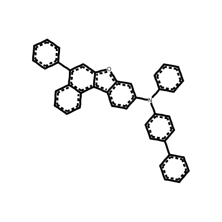 c1ccc(-c2ccc(N(c3ccccc3)c3ccc4c(c3)oc3cc(-c5ccccc5)c5ccccc5c34)cc2)cc1